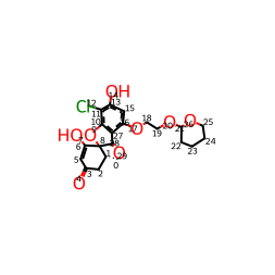 C[C@@H]1CC(=O)C=C(O)[C@@]12Oc1c(Cl)c(O)cc(OCCOC3CCCCO3)c1C2=O